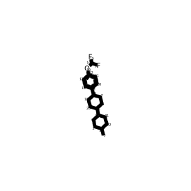 CC1CCC(C2CCC(c3ccc(OC(F)F)cc3)CC2)CC1